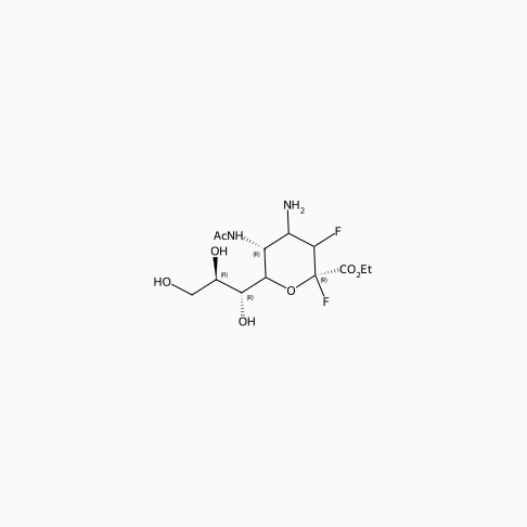 CCOC(=O)[C@]1(F)OC([C@H](O)[C@H](O)CO)[C@H](NC(C)=O)C(N)C1F